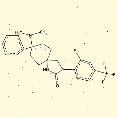 CN(C)C1(c2ccccc2)CCC2(CC1)CN(c1ncc(C(F)(F)F)cc1F)C(=O)N2